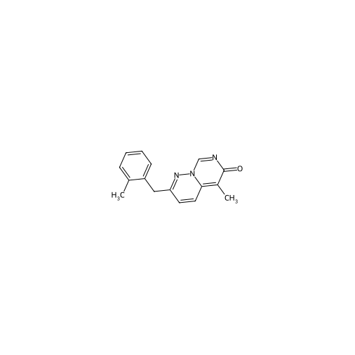 Cc1ccccc1Cc1ccc2c(C)c(=O)ncn2n1